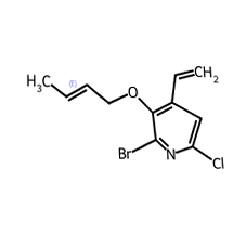 C=Cc1cc(Cl)nc(Br)c1OC/C=C/C